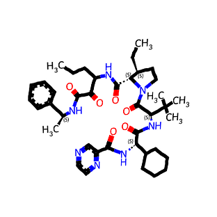 CCCC(NC(=O)[C@@H]1[C@@H](CC)CCN1C(=O)[C@@H](NC(=O)[C@@H](NC(=O)c1cnccn1)C1CCCCC1)C(C)(C)C)C(=O)C(=O)N[C@@H](C)c1ccccc1